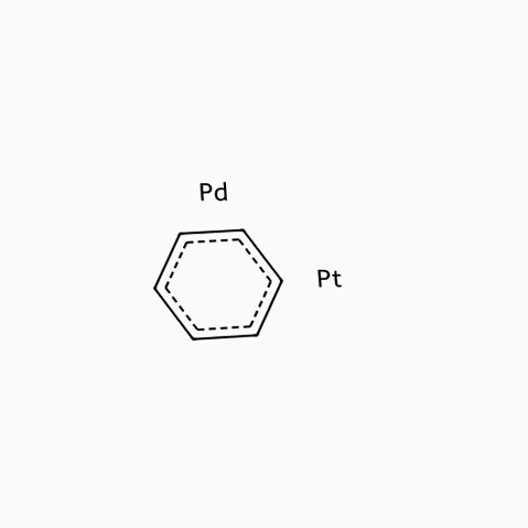 [Pd].[Pt].c1ccccc1